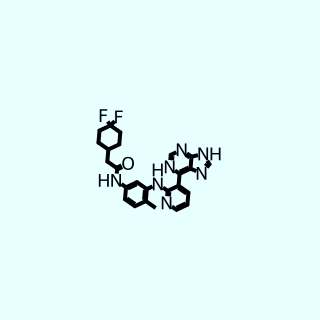 Cc1ccc(NC(=O)CC2CCC(F)(F)CC2)cc1Nc1ncccc1-c1ncnc2[nH]cnc12